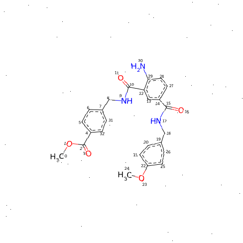 COC(=O)c1ccc(CNC(=O)c2cc(C(=O)NCc3ccc(OC)cc3)ccc2N)cc1